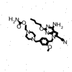 CCCCOc1nc(N)c2cc(C#N)n(Cc3ccc(CN4CCN(CCOC(N)=O)CC4)cc3OC)c2n1